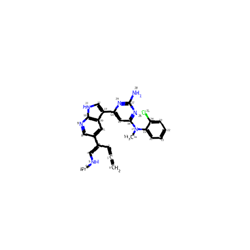 C=C=C/C(=C\NC(C)C)c1cnc2[nH]cc(-c3cc(N(C)c4ccccc4Cl)nc(N)n3)c2c1